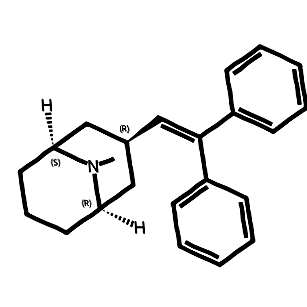 CN1[C@@H]2CCC[C@H]1C[C@@H](C=C(c1ccccc1)c1ccccc1)C2